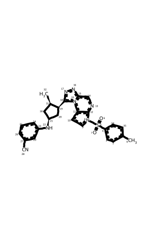 Cc1ccc(S(=O)(=O)n2ccc3c2ncc2nnc([C@H]4C[C@@H](Nc5cccc(C#N)c5)C[C@H]4C)n23)cc1